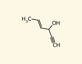 C#CC(O)C=CC